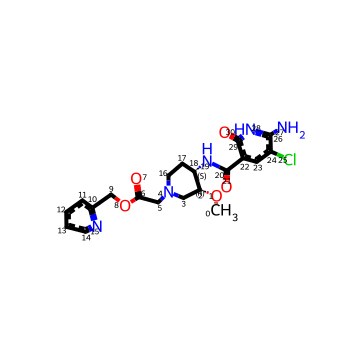 CO[C@@H]1CN(CC(=O)OCc2ccccn2)CC[C@@H]1NC(=O)c1cc(Cl)c(N)[nH]c1=O